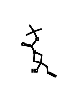 C=CCC1(O)CN(C(=O)OC(C)(C)C)C1